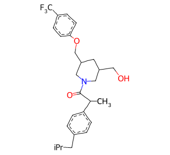 CC(C)Cc1ccc(C(C)C(=O)N2CC(CO)CC(COc3ccc(C(F)(F)F)cc3)C2)cc1